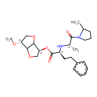 C[C@H](N[C@@H](CCc1ccccc1)C(=O)O[C@H]1COC2C1OC[C@H]2O[N+](=O)[O-])C(=O)N1CCCC1C(=O)O